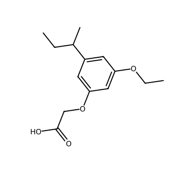 CCOc1cc(OCC(=O)O)cc(C(C)CC)c1